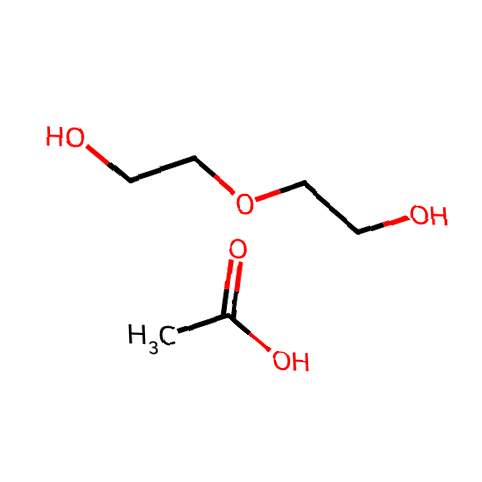 CC(=O)O.OCCOCCO